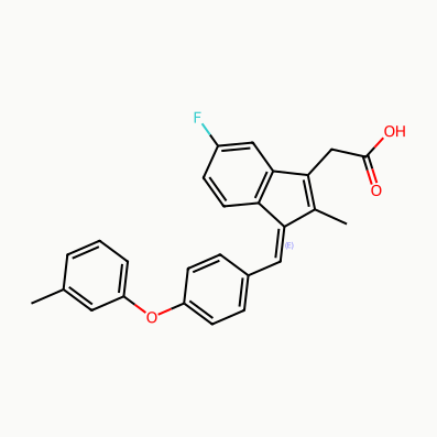 CC1=C(CC(=O)O)c2cc(F)ccc2/C1=C\c1ccc(Oc2cccc(C)c2)cc1